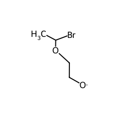 CC(Br)OCC[O]